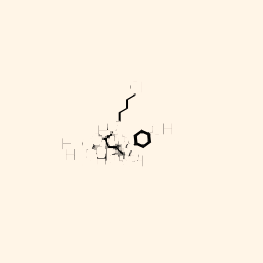 CCCCCCO[C@H]1O[C@H]([C@@](C)(O)S(=O)(=O)c2ccc(C)cc2)[C@@H]2OC(C)(C)O[C@H]12